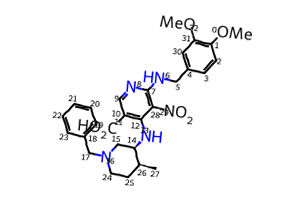 COc1ccc(CNc2ncc(C(=O)O)c(N[C@@H]3CN(Cc4ccccc4)CC[C@@H]3C)c2[N+](=O)[O-])cc1OC